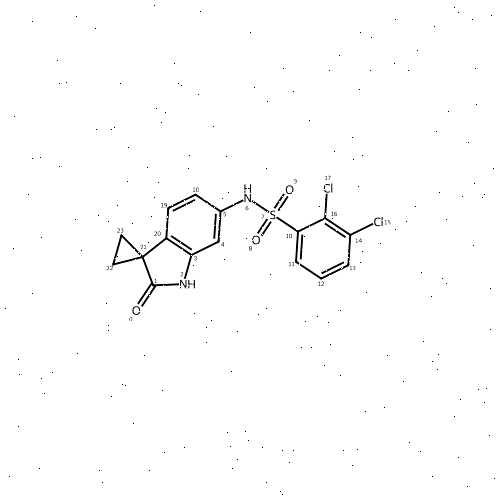 O=C1Nc2cc(NS(=O)(=O)c3cccc(Cl)c3Cl)ccc2C12CC2